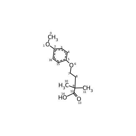 COc1ccc(OCCC(C)(C)C(=O)O)cc1